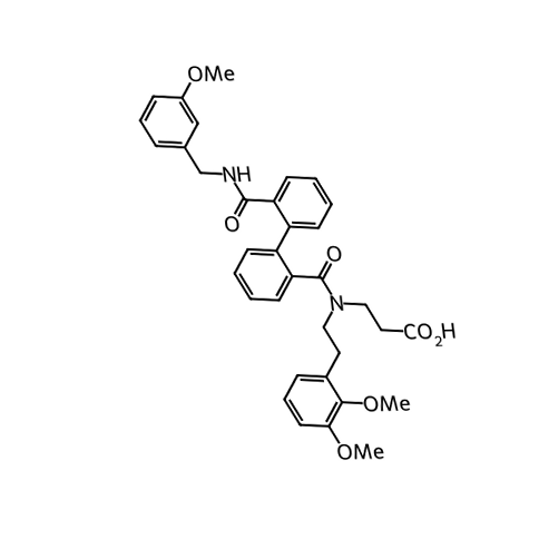 COc1cccc(CNC(=O)c2ccccc2-c2ccccc2C(=O)N(CCC(=O)O)CCc2cccc(OC)c2OC)c1